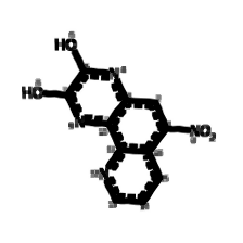 O=[N+]([O-])c1cc2nc(O)c(O)nc2c2ncccc12